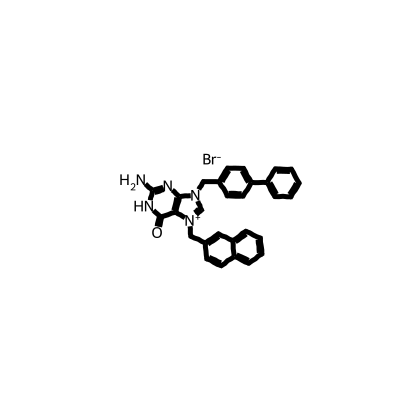 Nc1nc2c(c(=O)[nH]1)[n+](Cc1ccc3ccccc3c1)cn2Cc1ccc(-c2ccccc2)cc1.[Br-]